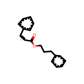 O=C(/C=C\c1ccccc1)OCCCc1ccccc1